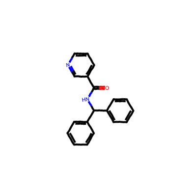 O=C(NC(c1ccccc1)c1ccccc1)c1cccnc1